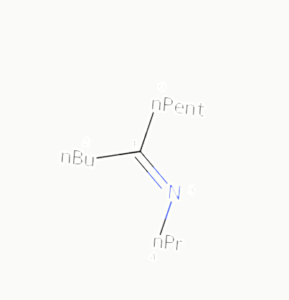 CCCCCC(CCCC)=NCCC